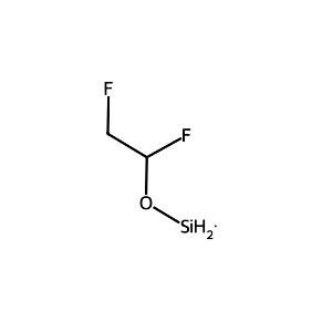 FCC(F)O[SiH2]